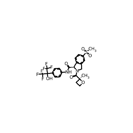 C[C@@]1(C(=O)N2Cc3cc(S(C)(=O)=O)ccc3[C@@H]2C(=O)Nc2ccc(C(O)(C(F)(F)F)C(F)(F)F)cc2)CCO1